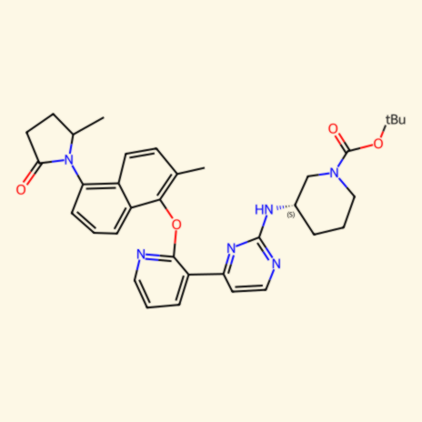 Cc1ccc2c(N3C(=O)CCC3C)cccc2c1Oc1ncccc1-c1ccnc(N[C@H]2CCCN(C(=O)OC(C)(C)C)C2)n1